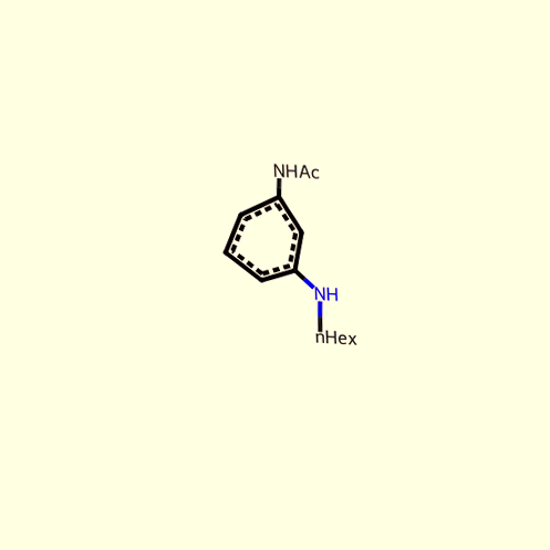 CCCCCCNc1cccc(NC(C)=O)c1